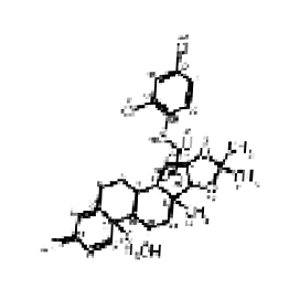 CC1(C)O[C@@H]2CC3C4CCC5=CC(=O)C=CC5(C)C4[C@@H](O)CC3(C)[C@]2(C(=O)CSc2ccc(Cl)cc2Cl)O1